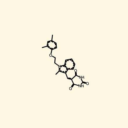 Cc1ccc(OCCn2c(C)c(C=C3C(=O)NC(=O)NC3=O)c3ccccc32)c(C)c1